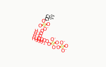 O.O.O.O.O.O.O.O=S(=O)([O-])[O-].O=S(=O)([O-])[O-].O=S(=O)([O-])[O-].[Cr+3].[Cr+3]